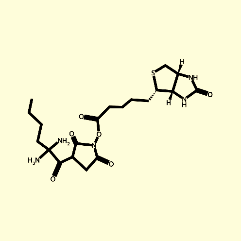 CCCCC(N)(N)C(=O)C1CC(=O)N(OC(=O)CCCC[C@@H]2SC[C@@H]3NC(=O)N[C@@H]32)C1=O